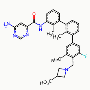 COc1cc(-c2cccc(-c3cccc(NC(=O)c4cc(N)ncn4)c3C)c2C)cc(F)c1CN1CC(C(=O)O)C1